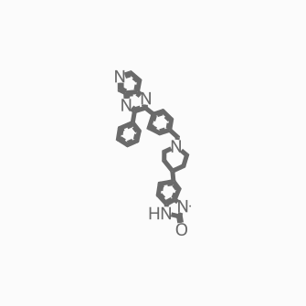 O=C1[N]c2cc(C3CCN(Cc4ccc(-c5nc6ccncc6nc5-c5ccccc5)cc4)CC3)ccc2N1